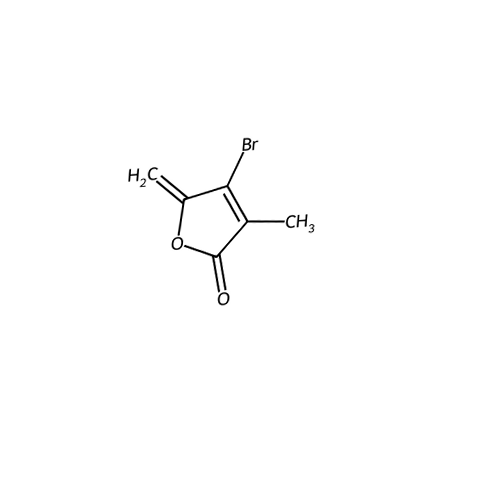 C=C1OC(=O)C(C)=C1Br